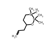 C=CCC1CC[Si](C)(C)[Si](C)(C)O1